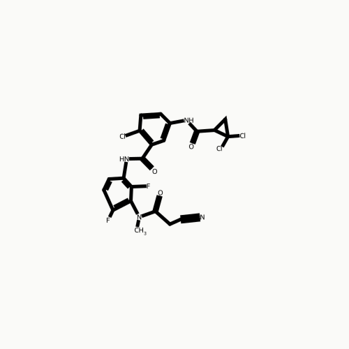 CN(C(=O)CC#N)c1c(F)ccc(NC(=O)c2cc(NC(=O)C3CC3(Cl)Cl)ccc2Cl)c1F